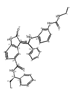 CCNC(=O)Nc1cccc(N/C(=C2\C(=O)Nc3ccc(C(=O)N[C@H](CC)c4ccccc4)cc32)c2ccccc2)c1